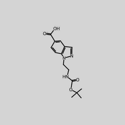 CC(C)(C)OC(=O)NCCn1ncc2cc(C(=O)O)ccc21